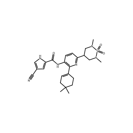 CN1CC(c2ccc(NC(=O)c3cc(C#N)c[nH]3)c(C3=CCC(C)(C)CC3)n2)CN(C)S1(=O)=O